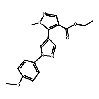 CCOC(=O)c1cnn(C)c1-c1cnn(-c2ccc(OC)cc2)c1